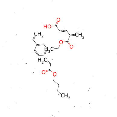 C=C(C=CC(=O)O)C(=O)OCC.C=CC(=O)OCCCC.C=Cc1ccccc1